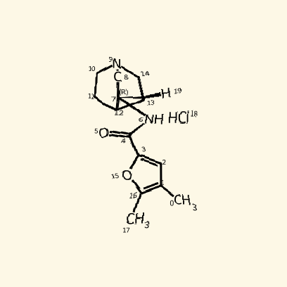 Cc1cc(C(=O)N[C@H]2CN3CCC2CC3)oc1C.Cl